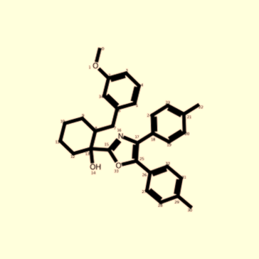 COc1cccc(CC2CCCCC2(O)c2nc(-c3ccc(C)cc3)c(-c3ccc(C)cc3)o2)c1